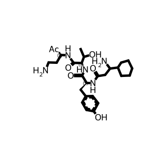 CC(=O)[C@H](CCN)NC(=O)[C@@H](NC(=O)[C@H](Cc1ccc(O)cc1)NC(=O)CC(N)C1CCCCC1)C(C)O